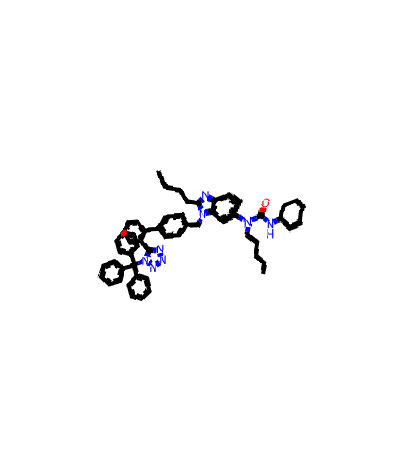 CCCCCN(C(=O)NC1CCCCC1)c1ccc2nc(CCCC)n(Cc3ccc(-c4ccccc4-c4nnnn4C(c4ccccc4)(c4ccccc4)c4ccccc4)cc3)c2c1